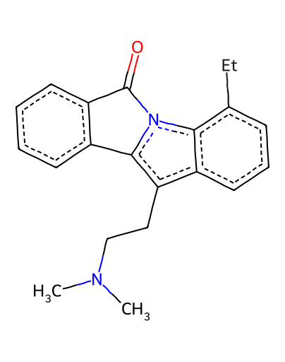 CCc1cccc2c(CCN(C)C)c3n(c12)C(=O)c1ccccc1-3